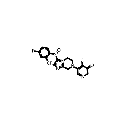 O=C1CN=CC(N2CCn3c([S+]([O-])c4ccc(F)cc4C(F)(F)F)cnc3C2)=C1Cl